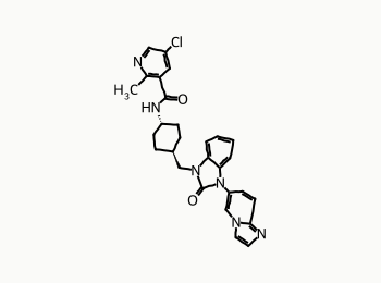 Cc1ncc(Cl)cc1C(=O)N[C@H]1CC[C@H](Cn2c(=O)n(-c3ccc4nccn4c3)c3ccccc32)CC1